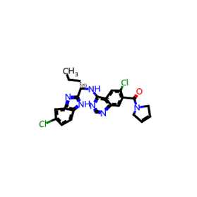 CCC[C@H](Nc1ncnc2cc(C(=O)N3CC=CC3)c(Cl)cc12)c1nc2cc(Cl)ccc2[nH]1